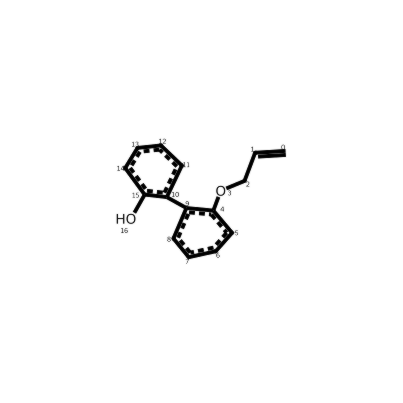 C=CCOc1ccccc1-c1ccccc1O